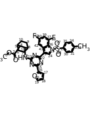 COC(=O)C1C2CCC(CC2)C1Nc1nc(-c2ccco2)nc(-c2cn(S(=O)(=O)c3ccc(C)cc3)c3c(F)cc(F)cc23)n1